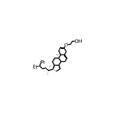 CC[C@H](CC[C@@H](C)[C@H]1CCC2C3CC=C4CC(OCCO)=CC[C@]4(C)C3CC[C@@]21C)C(C)C